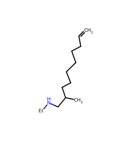 C=CCCCCCCC(C)CNCC